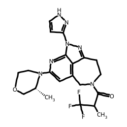 CC(C(=O)N1CCc2nn(-c3cc[nH]n3)c3nc(N4CCOC[C@H]4C)cc(c23)C1)C(F)(F)F